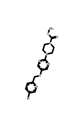 CC(C)(C)OC(=O)N1CCN(c2ncc(OCc3ccc(Br)cn3)cn2)CC1